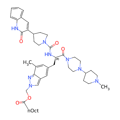 CCCCCCCCC(=O)OCn1cc2cc(C[C@@H](NC(=O)N3CCC(c4cc5ccccc5[nH]c4=O)CC3)C(=O)N3CCN(C4CCN(C)CC4)CC3)cc(C)c2n1